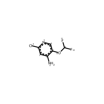 Nc1cc(Cl)ncc1OC(F)F